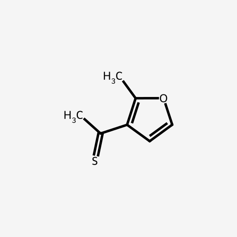 CC(=S)c1ccoc1C